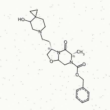 C[C@H]1C(=O)N2C(CN1C(=O)OCc1ccccc1)OC[C@@H]2CCN1CCC2(CC2)C(O)C1